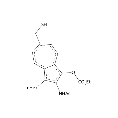 CCCCCCc1c2ccc(CS)ccc-2c(OC(=O)OCC)c1NC(C)=O